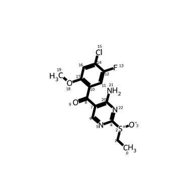 CC[S+]([O-])c1ncc(C(=O)c2cc(F)c(Cl)cc2OC)c(N)n1